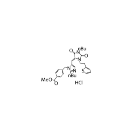 CCCCc1ncc(/C=C2/C(=O)N(CCCC)C(=O)N2CCc2cccs2)n1Cc1ccc(C(=O)OC)cc1.Cl